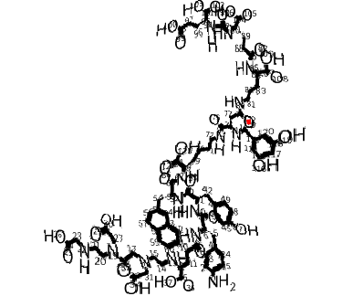 Nc1ccc(C[C@H](NC(=O)CCC(NCCN(CCN(CCNCC(=O)O)CC(=O)O)CC(=O)O)C(=O)O)C(=O)N[C@H](Cc2ccc(O)cc2)C(=O)N[C@H](Cc2ccc3ccccc3c2)C(=O)N[C@H](CCCCNC(=O)[C@@H](CC(=O)NCCCC(NC(=O)CC[C@H](NC(=O)N[C@@H](CCC(=O)O)C(=O)O)C(=O)O)C(=O)O)NC(=O)c2cc(O)cc(O)c2)C(=O)O)cc1